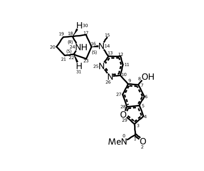 CNC(=O)c1cc2cc(O)c(-c3ccc(N(C)[C@@H]4C[C@H]5CCC[C@@H](C4)N5)nn3)cc2o1